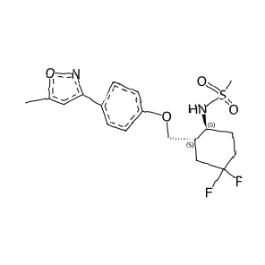 Cc1cc(-c2ccc(OC[C@H]3CC(F)(F)CC[C@@H]3NS(C)(=O)=O)cc2)no1